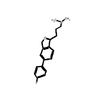 CN(C)CCCC1OCc2cc(-c3ccc(F)cc3)ccc21